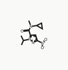 CC(C)n1nc([N+](=O)[O-])cc1C(=O)N(C)C1CC1